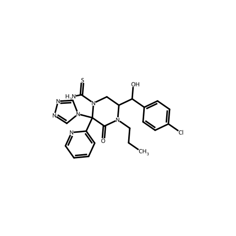 CCCN1C(=O)C(c2ccccn2)(n2cnnc2)N(C(N)=S)CC1C(O)c1ccc(Cl)cc1